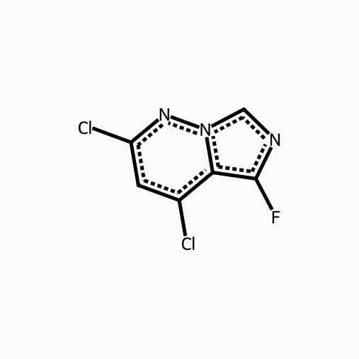 Fc1ncn2nc(Cl)cc(Cl)c12